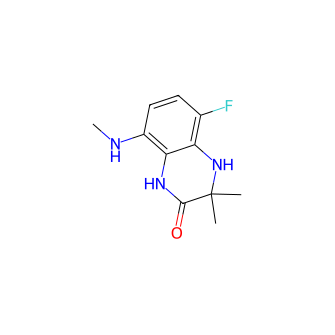 CNc1ccc(F)c2c1NC(=O)C(C)(C)N2